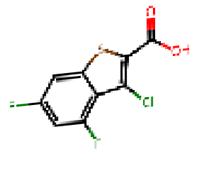 O=C(O)c1sc2cc(F)cc(F)c2c1Cl